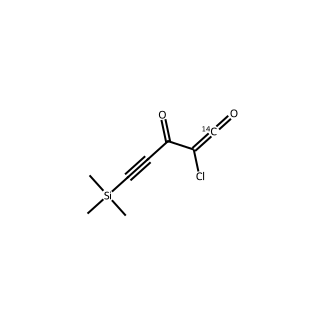 C[Si](C)(C)C#CC(=O)C(Cl)=[14C]=O